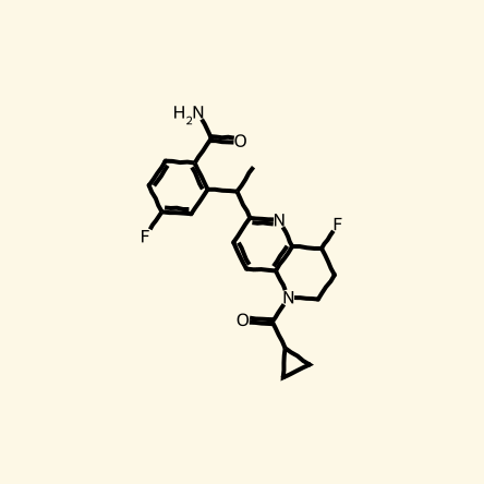 CC(c1ccc2c(n1)C(F)CCN2C(=O)C1CC1)c1cc(F)ccc1C(N)=O